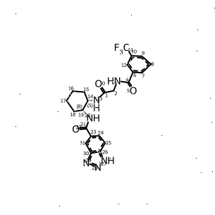 O=C(CNC(=O)c1cccc(C(F)(F)F)c1)N[C@H]1CCCC[C@H]1NC(=O)c1ccc2[nH]nnc2c1